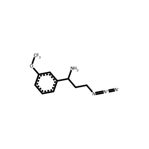 [N-]=[N+]=NCCC(N)c1cccc(OC(F)(F)F)c1